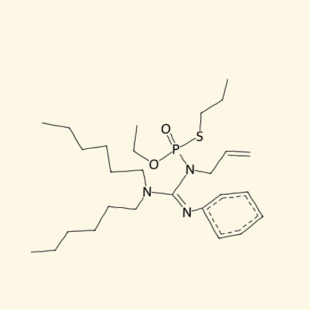 C=CCN(C(=Nc1ccccc1)N(CCCCCC)CCCCCC)P(=O)(OCC)SCCC